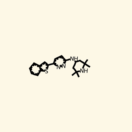 CC1(C)CC(Nc2ccc(-c3cc4ccccc4s3)nn2)CC(C)(C)N1